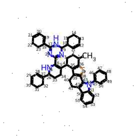 CC1CCC(C2=C(C3=NC(C4C=CCCC4)NC(C4=CC=CCC4)=N3)NC(C3=CC=CCC3)CC2)c2c1sc1c2CCc2c-1n(-c1ccccc1)c1ccccc21